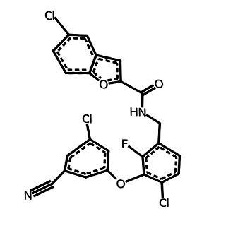 N#Cc1cc(Cl)cc(Oc2c(Cl)ccc(CNC(=O)c3cc4cc(Cl)ccc4o3)c2F)c1